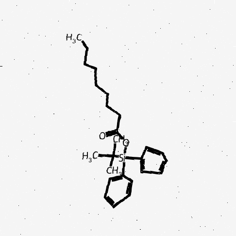 CCCCCCCCC(=O)O[Si](c1ccccc1)(c1ccccc1)C(C)(C)C